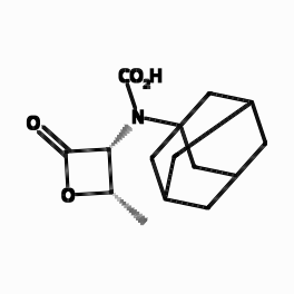 C[C@@H]1OC(=O)[C@@H]1N(C(=O)O)C12CC3CC(CC(C3)C1)C2